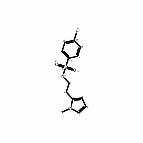 Cn1[c]ccc1CCNS(=O)(=O)c1ccc(F)cc1